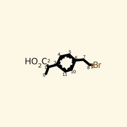 CC(C(=O)O)c1ccc(CCBr)cc1